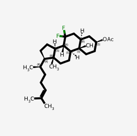 CC(=O)O[C@H]1CC[C@@]2(C)[C@H](C1)CC(F)(F)[C@@H]1[C@@H]2CC[C@]2(C)[C@@H]([C@H](C)CCC=C(C)C)CC[C@@H]12